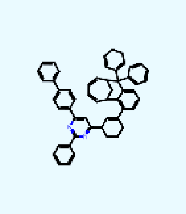 C1=CC2CC(C=C1)C(C1=CCCC=C1)(c1ccccc1)c1cccc(C3=CC(c4cc(-c5ccc(-c6ccccc6)cc5)nc(-c5ccccc5)n4)CCC3)c12